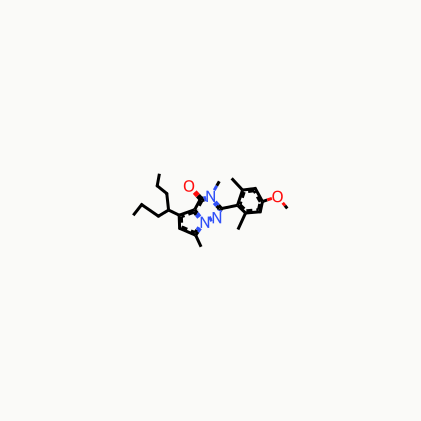 CCCC(CCC)c1cc(C)n2nc(-c3c(C)cc(OC)cc3C)n(C)c(=O)c12